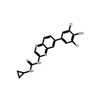 Oc1c(Cl)cc(-c2ccc3ncc(NC(=S)NC4CC4)nc3c2)cc1Cl